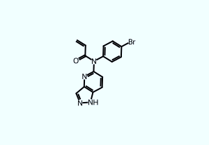 C=CC(=O)N(c1ccc(Br)cc1)c1ccc2[nH]ncc2n1